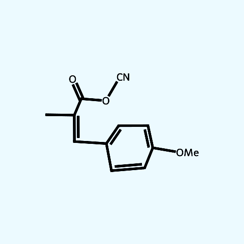 COc1ccc(C=C(C)C(=O)OC#N)cc1